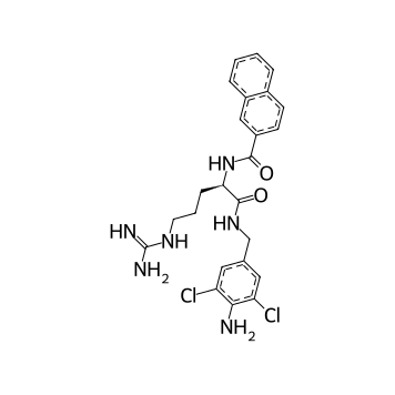 N=C(N)NCCC[C@@H](NC(=O)c1ccc2ccccc2c1)C(=O)NCc1cc(Cl)c(N)c(Cl)c1